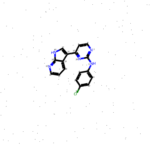 Clc1ccc(Nc2nccc(-c3c[nH]c4ncccc34)n2)cc1